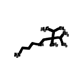 CC(C)C(C)(CNCCCN)C(C)C